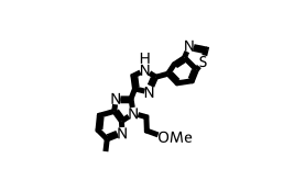 COCCn1c(-c2c[nH]c(-c3ccc4scnc4c3)n2)nc2ccc(C)nc21